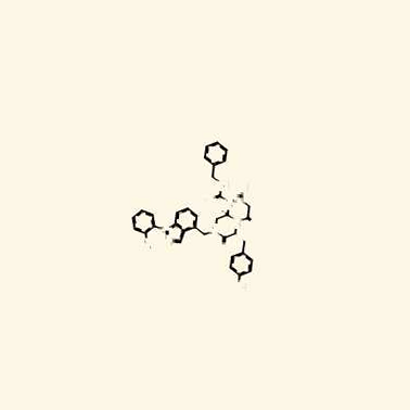 CN1CC(=O)N2[C@@H](Cc3ccc(O)cc3)C(=O)N(Cc3cccc4c3cnn4-c3ccccc3N)C[C@@H]2N1C(=O)NCc1ccccc1